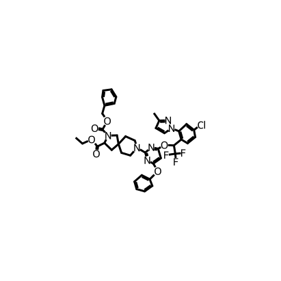 CCOC(=O)C1CC2(CCN(c3nc(Oc4ccccc4)cc(OC(c4ccc(Cl)cc4-n4ccc(C)n4)C(F)(F)F)n3)CC2)CN1C(=O)OCc1ccccc1